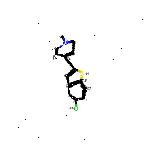 CN1CC=C(c2cc3cc(Cl)ccc3s2)CC1